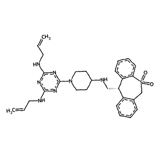 C=CCNc1nc(NCC=C)nc(N2CCC(NC[C@H]3c4ccccc4CS(=O)(=O)c4ccccc43)CC2)n1